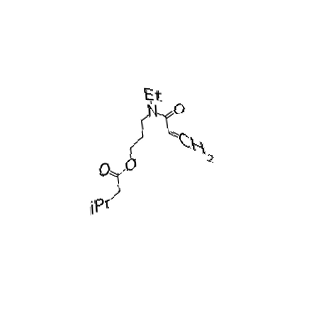 C=CC(=O)N(CC)CCCOC(=O)CC(C)C